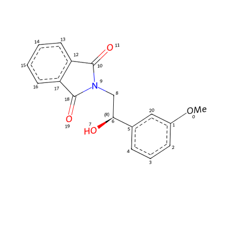 COc1cccc([C@@H](O)CN2C(=O)c3ccccc3C2=O)c1